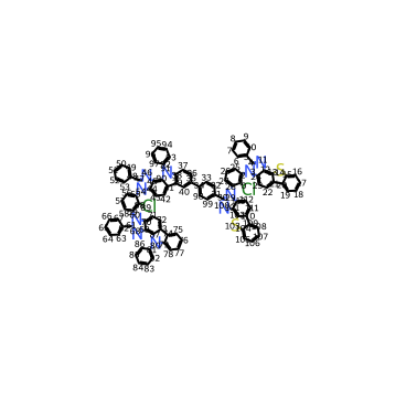 Clc1c(-n2c(-c3ccccc3)nc3c4sc5ccccc5c4ccc32)cccc1-n1c(-c2ccc(-c3ccc4c(c3)c3ccc5c(nc(-c6ccccc6)n5-c5cccc(-n6c(-c7ccccc7)nc7c6ccc6c8ccccc8n(-c8ccccc8)c67)c5Cl)c3n4-c3ccccc3)cc2)nc2c3sc4ccccc4c3ccc21